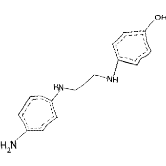 Nc1ccc(NCCNc2ccc(O)cc2)cc1